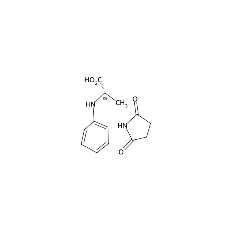 C[C@H](Nc1ccccc1)C(=O)O.O=C1CCC(=O)N1